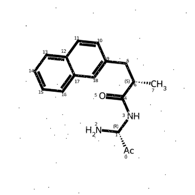 CC(=O)[C@H](N)NC(=O)[C@@H](C)Cc1ccc2ccccc2c1